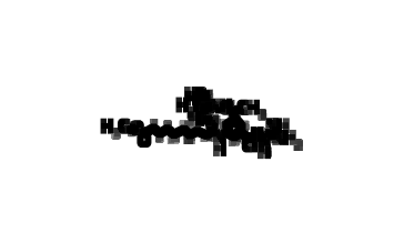 Br.Br.CCOC(=O)CCCCCCCCC(=NNC(=N)N)Nc1cc(C(C)=O)cc(C(C)=NNC(=N)N)c1